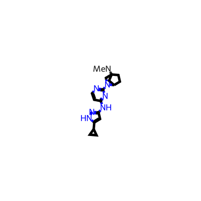 CNC12CCC(C1)N(c1nccc(Nc3cc(C4CC4)[nH]n3)n1)C2